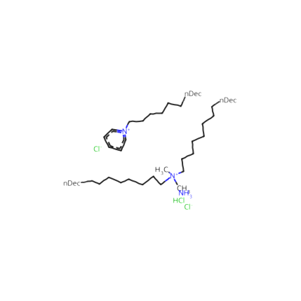 CCCCCCCCCCCCCCCCCC[N+](C)(C)CCCCCCCCCCCCCCCCCC.CCCCCCCCCCCCCCCC[n+]1ccccc1.Cl.N.[Cl-].[Cl-]